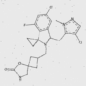 Cn1ncc(Cl)c1CC1c2cc(Cl)cc(F)c2C2(CC2)N1CC1CC2(CNC(=O)O2)C1